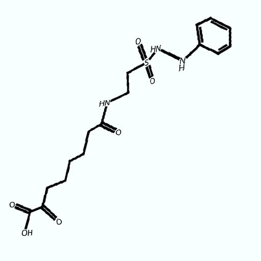 O=C(CCCCCC(=O)C(=O)O)NCCS(=O)(=O)NNc1ccccc1